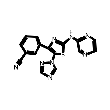 N#Cc1cccc(-c2nc(Nc3cnccn3)sc2-n2cncn2)c1